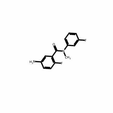 CN(C(=O)c1cc(N)ccc1F)c1cccc(F)c1